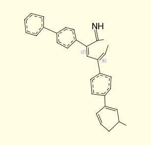 C/C=C(\C=C(/C(C)=N)c1ccc(-c2ccccc2)cc1)c1ccc(C2=CC(C)CC=C2)cc1